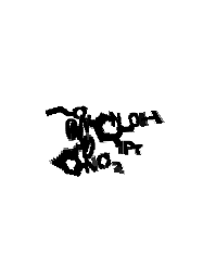 C=CCON(C1C=C(C(C)C)C(CO)=NC1)S(=O)(=O)c1ccccc1[N+](=O)[O-]